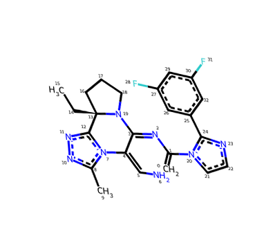 C=C(/N=C1\C(=C/N)n2c(C)nnc2[C@]2(CC)CCCN12)n1ccnc1-c1cc(F)cc(F)c1